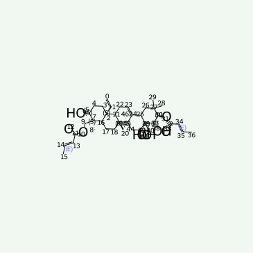 C=C[C@]12CC[C@H](O)[C@](C)(COC(=O)/C=C/C)C1CC[C@]1(C)C2CC=C2C3CC(C)(C)[C@@H](OC(=O)/C=C/C)[C@H](O)[C@]3(CO)[C@H](O)C[C@]21C